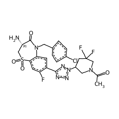 CC(=O)N1CC(n2nnc(-c3cc4c(cc3F)S(=O)(=O)C[C@H](N)C(=O)N4Cc3ccc(Cl)cc3)n2)CC(F)(F)C1